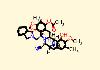 COc1c(C)cc2c(c1O)[C@@H]1[C@@H]3Cc4c(OC(C)=O)c(C)c5c(c4[C@H](CN4Cc6ccccc6C4)N3[C@@H](C#N)[C@@H](C2)N1C)OCO5